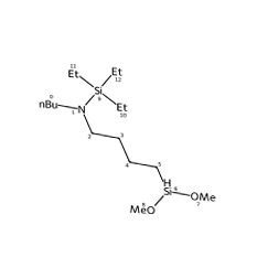 CCCCN(CCCC[SiH](OC)OC)[Si](CC)(CC)CC